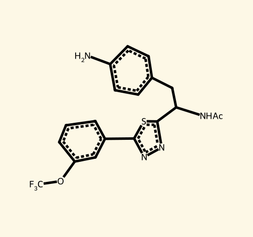 CC(=O)NC(Cc1ccc(N)cc1)c1nnc(-c2cccc(OC(F)(F)F)c2)s1